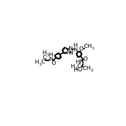 CCOc1cc(C(=O)NCC(C)(C)O)ccc1Nc1nc2ccc(-c3ccc(C(=O)NCC(C)C)cc3)cn2n1